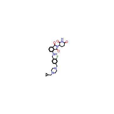 O=C1CCC(N2C(=O)c3cccc(NCc4ccc(CN5CCN(CC6CC6)CC5)cc4F)c3C2=O)C(=O)N1